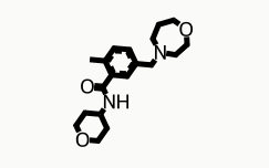 Cc1ccc(CN2CCCOCC2)cc1C(=O)NC1CCOCC1